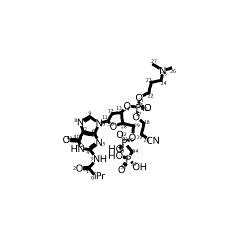 CC(C)C(=O)Nc1nc2c(ncn2C2CC(OP(=O)(OCCC#N)OCCCN(C)C)C(COP(=O)(O)CP(=O)(O)O)O2)c(=O)[nH]1